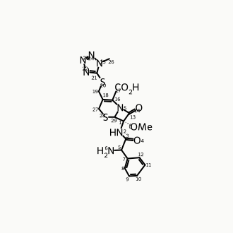 CO[C@@]1(NC(=O)C(N)c2ccccc2)C(=O)N2C(C(=O)O)=C(CSc3nnnn3C)CSC21